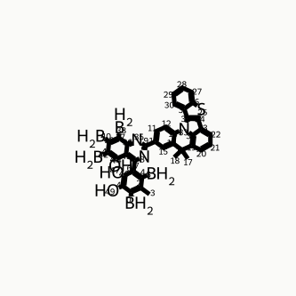 Bc1c(C)c(B)c(-c2nc(-c3ccc4c(c3)C(C)(C)c3cccc5c6sc7ccccc7c6n-4c35)nc3c(B)c(B)c(B)c(O)c23)c(O)c1O